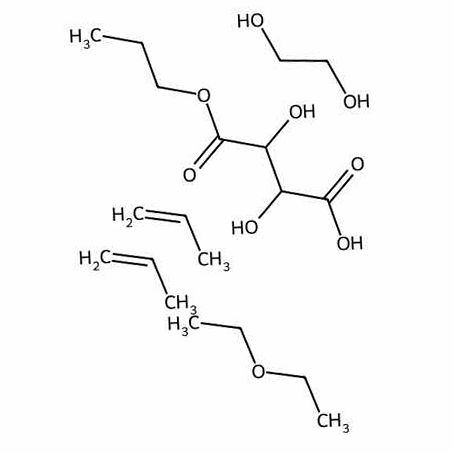 C=CC.C=CC.CCCOC(=O)C(O)C(O)C(=O)O.CCOCC.OCCO